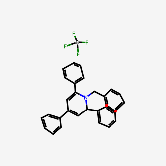 C1=C(c2ccccc2)C=C(c2ccccc2)N(Cc2ccccc2)C1c1ccccc1.F[B-](F)(F)F